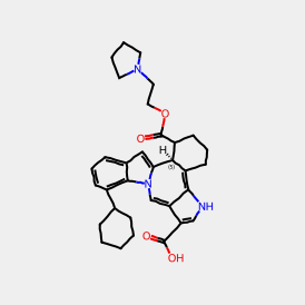 O=C(O)c1c[nH]c2c1=Cn1c(cc3cccc(C4CCCCC4)c31)[C@@H]1C=2CCCC1C(=O)OCCN1CCCC1